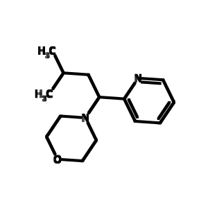 CC(C)CC(c1ccccn1)N1CCOCC1